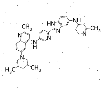 CC1=NCCC(Nc2ccc3[nH]c(-c4ccc(Nc5cc(C)nc6ccc(N7CC(C)CC(C)C7)cc56)cn4)nc3c2)=C1